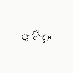 c1coc(-c2cnc(-c3cncs3)o2)c1